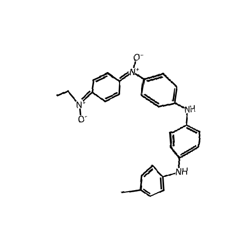 CC[N+]([O-])=C1C=CC(=[N+]([O-])c2ccc(Nc3ccc(Nc4ccc(C)cc4)cc3)cc2)C=C1